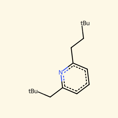 CC(C)(C)CCc1cccc(CC(C)(C)C)n1